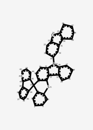 c1ccc2c(c1)Sc1c(ccc3c1c1ccccc1n3-c1ccc3oc4ccccc4c3c1)C21c2ccccc2-c2ccccc21